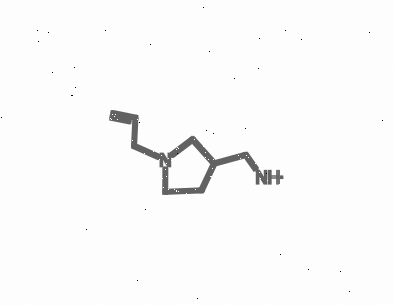 C=CCN1CCC(C[NH])C1